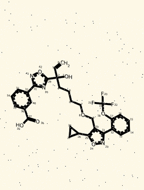 C=CC(O)(CCCCOCc1c(-c2ccccc2OC(F)(F)F)noc1C1CC1)c1nc(-c2cccc(C(=O)O)c2)no1